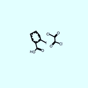 O=C(Cl)C(=O)Cl.O=C(O)c1ccccc1I